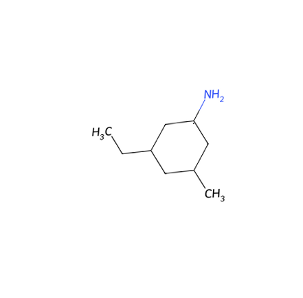 CCC1C[C](N)CC(C)C1